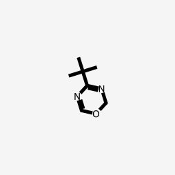 CC(C)(C)C1=NCOC=N1